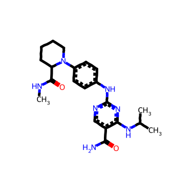 CNC(=O)C1CCCCN1c1ccc(Nc2ncc(C(N)=O)c(NC(C)C)n2)cc1